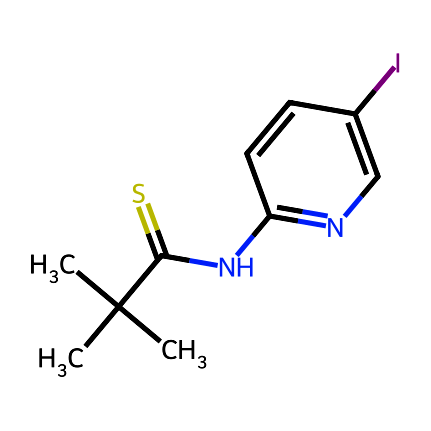 CC(C)(C)C(=S)Nc1ccc(I)cn1